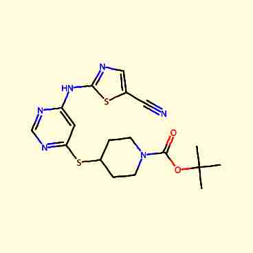 CC(C)(C)OC(=O)N1CCC(Sc2cc(Nc3ncc(C#N)s3)ncn2)CC1